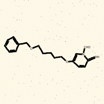 N=c1ccc(OCCCCCOCc2ccccc2)cn1C=O